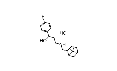 CC1(C)C2CCC(CNCCC(O)c3ccc(F)cc3)C1C2.Cl